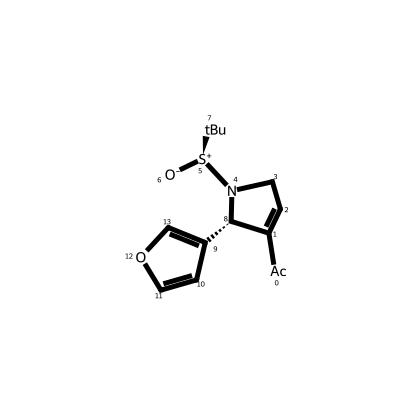 CC(=O)C1=CCN([S@@+]([O-])C(C)(C)C)[C@H]1c1ccoc1